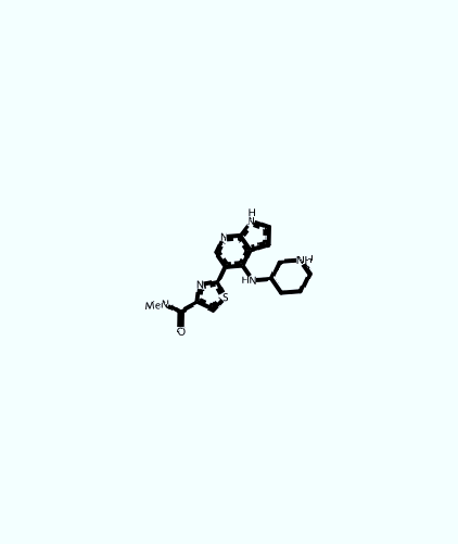 CNC(=O)c1csc(-c2cnc3[nH]ccc3c2NC2CCCNC2)n1